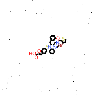 O=C(O)c1cc2ccc(SN(CCc3ccccc3)c3ccccc3N3CCN(C(=O)c4sccc4Br)CC3)cc2o1